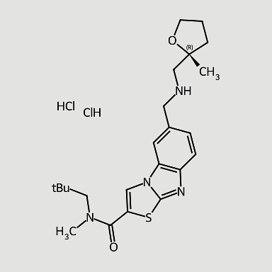 CN(CC(C)(C)C)C(=O)c1cn2c(nc3ccc(CNC[C@@]4(C)CCCO4)cc32)s1.Cl.Cl